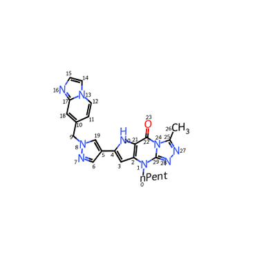 CCCCCn1c2cc(-c3cnn(Cc4ccn5ccnc5c4)c3)[nH]c2c(=O)n2c(C)nnc12